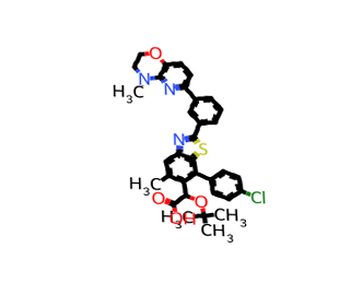 Cc1cc2nc(-c3cccc(-c4ccc5c(n4)N(C)CCO5)c3)sc2c(-c2ccc(Cl)cc2)c1C(OC(C)(C)C)C(=O)O